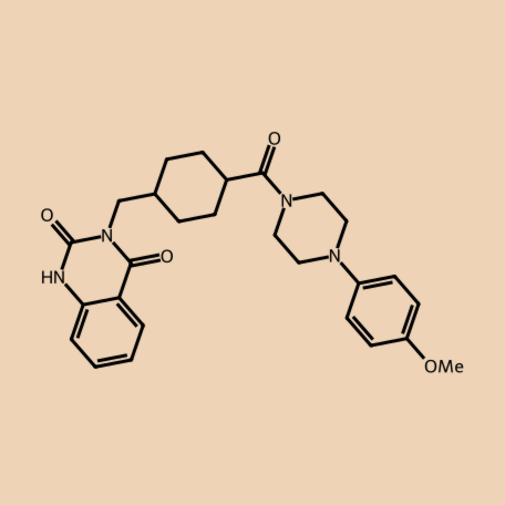 COc1ccc(N2CCN(C(=O)C3CCC(Cn4c(=O)[nH]c5ccccc5c4=O)CC3)CC2)cc1